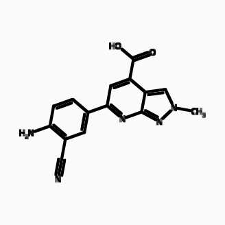 Cn1cc2c(C(=O)O)cc(-c3ccc(N)c(C#N)c3)nc2n1